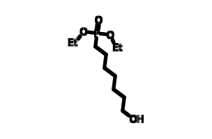 CCOP(=O)(CCCCCCCO)OCC